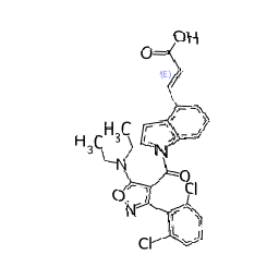 CCN(CC)c1onc(-c2c(Cl)cccc2Cl)c1C(=O)n1ccc2c(/C=C/C(=O)O)cccc21